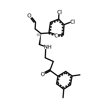 Cc1cc(C)cc(C(=O)CCNC[C@@H](CC=O)c2ccc(Cl)c(Cl)c2)c1